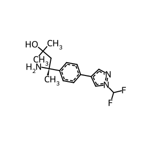 CC(C)(O)C[C@@](C)(N)c1ccc(-c2cnn(C(F)F)c2)cc1